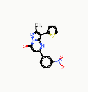 Cc1nn2c(=O)cc(-c3cccc([N+](=O)[O-])c3)[nH]c2c1-c1cccs1